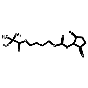 CC(C)(C)C(=O)OCCCCOC(=O)ON1C(=O)CCC1=O